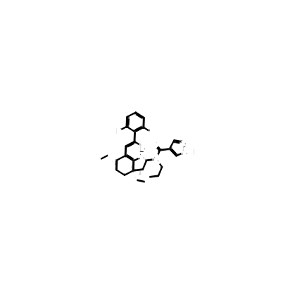 CC[C@H]1CC[C@](CC)([C@H]2CCCN(C(=O)c3cn[nH]c3)C2)c2nnc(-c3c(F)cccc3F)cc21